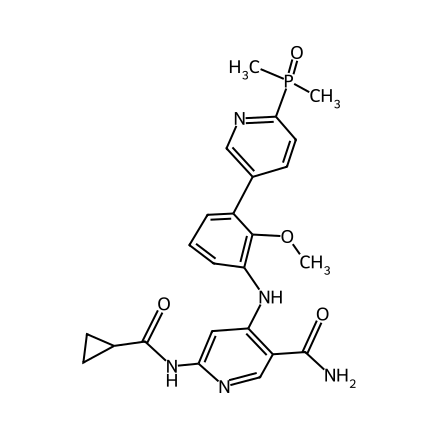 COc1c(Nc2cc(NC(=O)C3CC3)ncc2C(N)=O)cccc1-c1ccc(P(C)(C)=O)nc1